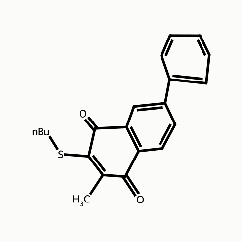 CCCCSC1=C(C)C(=O)c2ccc(-c3ccccc3)cc2C1=O